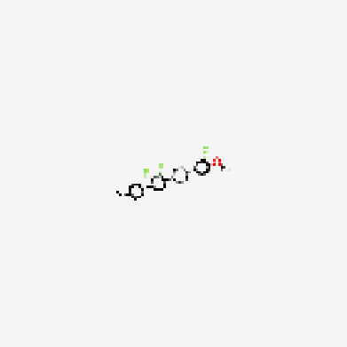 C=Cc1ccc(-c2ccc(C3CCC(c4ccc(OCC)c(F)c4)CC3)c(F)c2F)cc1